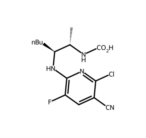 CCCC[C@H](Nc1nc(Cl)c(C#N)cc1F)[C@H](C)NC(=O)O